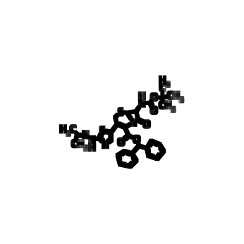 CC(C)=NNc1ncc(C2=C(C(=O)OC(c3ccccc3)c3ccccc3)N3C(=O)C(NC(=O)OC(C)(C)C)C3SC2)s1